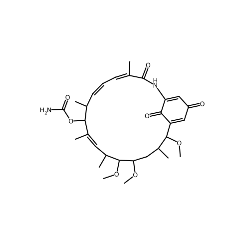 COC1CC(C)C(OC)C2=CC(=O)C=C(NC(=O)C(C)=CC=CC(C)C(OC(N)=O)C(C)=CC(C)C1OC)C2=O